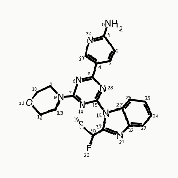 Nc1ccc(-c2nc(N3CCOCC3)nc(-n3c(C(F)F)nc4ccccc43)n2)cn1